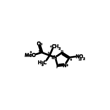 COC(=O)C(C)(C)n1cnc([N+](=O)[O-])c1